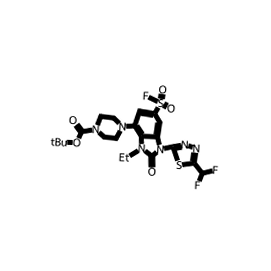 CCn1c(=O)n(-c2nnc(C(F)F)s2)c2cc(S(=O)(=O)F)cc(N3CCN(C(=O)OC(C)(C)C)CC3)c21